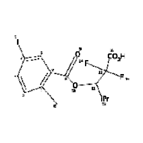 Cc1ccc(I)cc1C(=O)OC(C(C)C)C(F)(F)C(=O)O